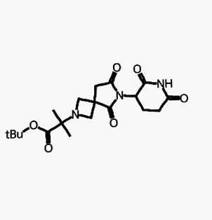 CC(C)(C)OC(=O)C(C)(C)N1CC2(CC(=O)N(C3CCC(=O)NC3=O)C2=O)C1